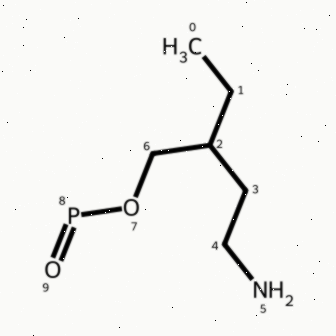 CCC(CCN)COP=O